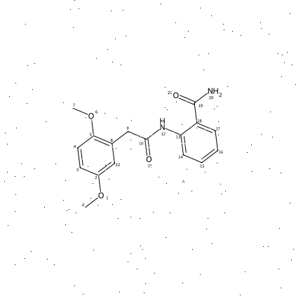 COc1ccc(OC)c(CC(=O)Nc2ccccc2C(N)=O)c1